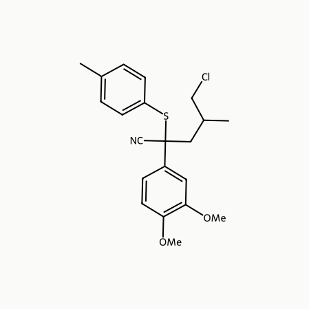 COc1ccc(C(C#N)(CC(C)CCl)Sc2ccc(C)cc2)cc1OC